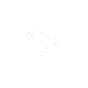 COc1cc(OC)c(OCc2ccccc2)c(CN[C@H]2CC(=O)C(=O)[C@H](Cc3ccccc3)[C@H](OC(=O)C(C)C)[C@H](C)C(=O)C2=O)n1